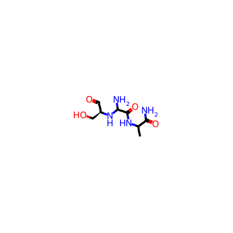 CC(NC(=O)C(N)N[C@H](C=O)CO)C(N)=O